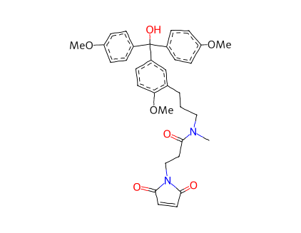 COc1ccc(C(O)(c2ccc(OC)cc2)c2ccc(OC)c(CCCN(C)C(=O)CCN3C(=O)C=CC3=O)c2)cc1